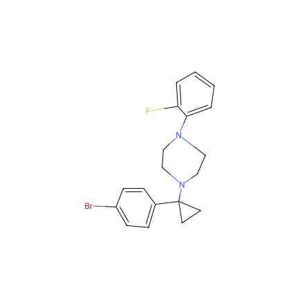 Fc1ccccc1N1CCN(C2(c3ccc(Br)cc3)CC2)CC1